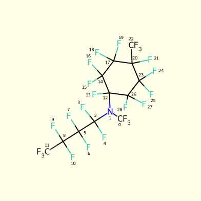 FC(F)(F)N(C(F)(F)C(F)(F)C(F)(F)C(F)(F)F)C1(F)C(F)(F)C(F)(F)C(F)(C(F)(F)F)C(F)(F)C1(F)F